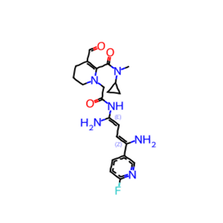 CN(C(=O)C1=C(C=O)CCCN1CC(=O)N/C(N)=C/C=C(\N)c1ccc(F)nc1)C1CC1